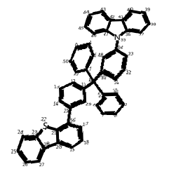 c1ccc(C(c2ccccc2)(c2cccc(-c3cccc4c3sc3ccccc34)c2)c2cccc(-n3c4ccccc4c4ccccc43)c2)cc1